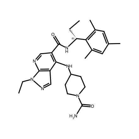 CC[C@@H](NC(=O)c1cnc2c(cnn2CC)c1NC1CCN(C(N)=O)CC1)c1c(C)cc(C)cc1C